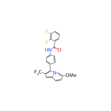 COc1ccc2cc(C(F)(F)F)c(-c3ccc(NC(=O)c4cccc(F)c4F)cc3)n2c1